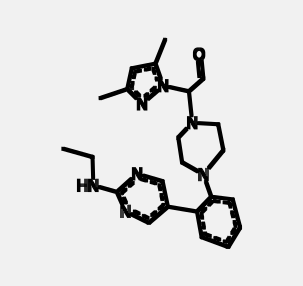 CCNc1ncc(-c2ccccc2N2CCN(C(C=O)n3nc(C)cc3C)CC2)cn1